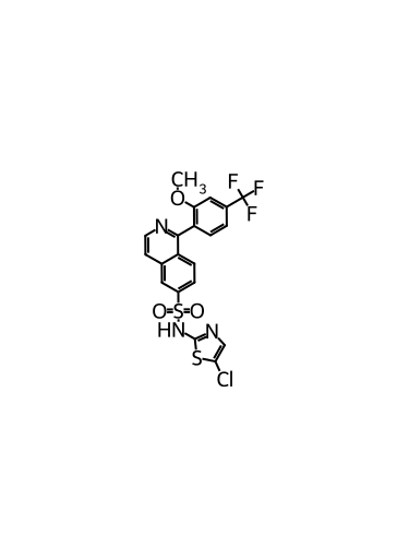 COc1cc(C(F)(F)F)ccc1-c1nccc2cc(S(=O)(=O)Nc3ncc(Cl)s3)ccc12